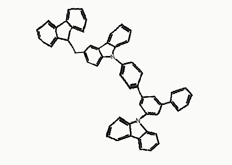 c1ccc(-c2cc(-c3ccc(-n4c5ccccc5c5cc(CC6c7ccccc7-c7ccccc76)ccc54)cc3)cc(-n3c4ccccc4c4ccccc43)c2)cc1